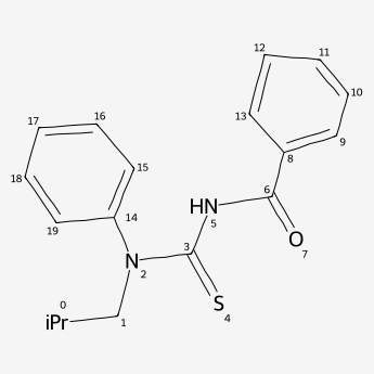 CC(C)CN(C(=S)NC(=O)c1ccccc1)c1ccccc1